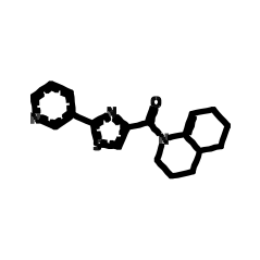 O=C(c1csc(-c2cccnc2)n1)N1CCCC2CCCC=C21